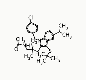 CC(=O)NCC(C)(C)Cc1c(SC(C)(C)C)c2cc(C(C)C)ccc2n1Cc1ccc(Cl)cc1